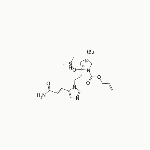 C=CCOC(=O)N1C[C@@H](C(C)(C)C)C[C@]1(CCn1cncc1C=CC(N)=O)O[SiH](C)C